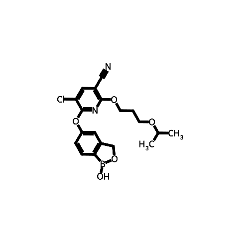 CC(C)OCCCOc1nc(Oc2ccc3c(c2)COB3O)c(Cl)cc1C#N